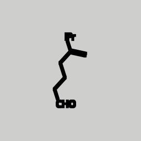 C=C(CCCC=O)C(C)C